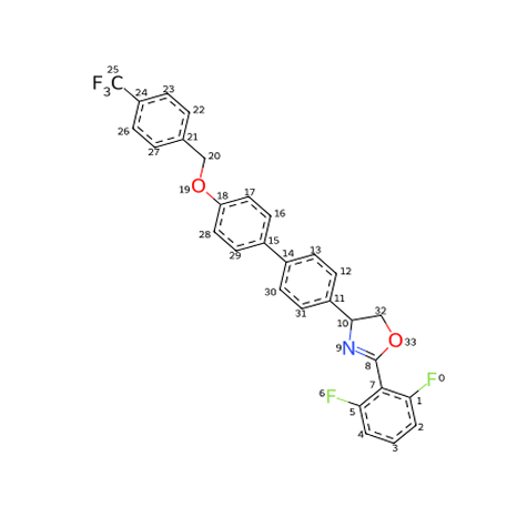 Fc1cccc(F)c1C1=NC(c2ccc(-c3ccc(OCc4ccc(C(F)(F)F)cc4)cc3)cc2)CO1